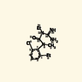 CCc1cccc(Cl)c1N(C)C(=O)N(CC)C(=N)N